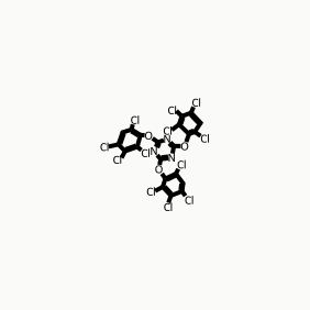 Clc1cc(Cl)c(Oc2nc(Oc3c(Cl)cc(Cl)c(Cl)c3Cl)nc(Oc3c(Cl)cc(Cl)c(Cl)c3Cl)n2)c(Cl)c1Cl